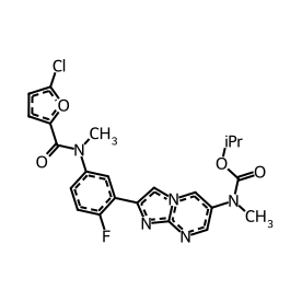 CC(C)OC(=O)N(C)c1cnc2nc(-c3cc(N(C)C(=O)c4ccc(Cl)o4)ccc3F)cn2c1